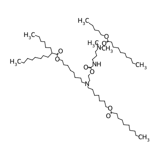 CCCCCCCCCC(=O)OCCCCCC.CCCCCCCCCC(=O)OCCCCCCCN(CCCCCCCCOC(=O)C(CCCCCC)CCCCCCCC)CCOC(=O)NCCCN(C)C